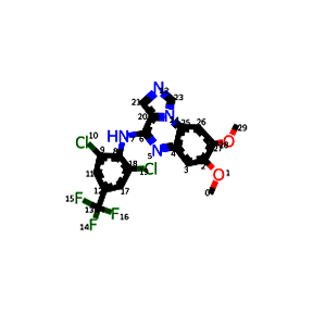 COc1cc2nc(Nc3c(Cl)cc(C(F)(F)F)cc3Cl)c3cncn3c2cc1OC